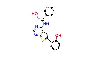 OC[C@@H](Nc1ncnc2sc(-c3ccccc3O)cc12)c1ccccc1